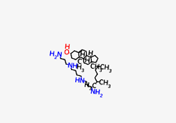 CC(C)CCCC(C)[C@H]1CC[C@H]2[C@@H]3CC=C4C[C@@H](O)CC[C@]4(C)[C@H]3CC[C@]12C.NCCCNCCCCNCCCN